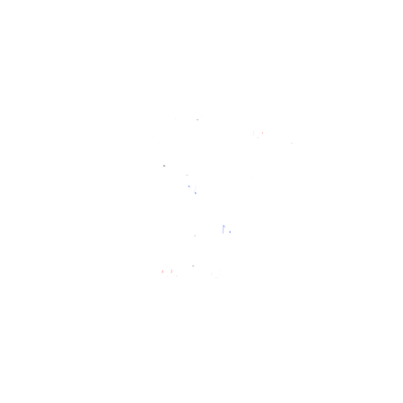 CCOC(=O)c1cn2c(cc(OC)c3ccccc32)n1